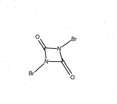 O=C1N(Br)C(=O)N1Br